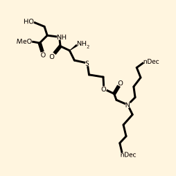 CCCCCCCCCCCCCCN(CCCCCCCCCCCCCC)CC(=O)OCCSC[C@H](N)C(=O)NC(CO)C(=O)OC